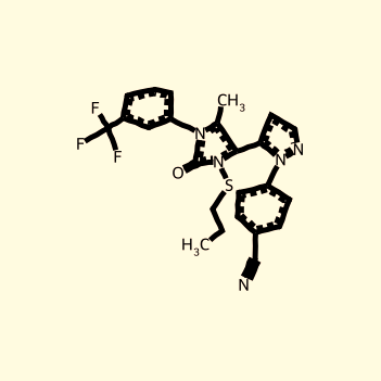 CCCSn1c(-c2ccnn2-c2ccc(C#N)cc2)c(C)n(-c2cccc(C(F)(F)F)c2)c1=O